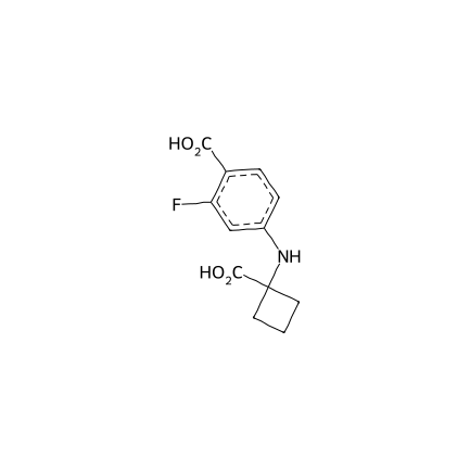 O=C(O)c1ccc(NC2(C(=O)O)CCC2)cc1F